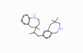 CC(Cc1ccc2c(c1)CC(C)(C)CNC2)C1(C)CCNc2ccccc2C1